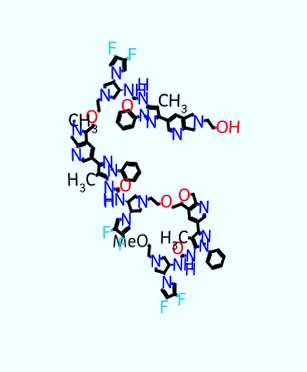 COCCN1C[C@@H](n2cc(F)c(F)c2)[C@H](NC(=O)Nc2c(C)c(-c3cnc4c(c3)C(COCCN3C[C@@H](n5cc(F)c(F)c5)[C@H](NC(=O)Nc5c(C)c(-c6cnc7c(c6)C(COCCN6C[C@@H](n8cc(F)c(F)c8)[C@H](NC(=O)Nc8c(C)c(-c9cnc%10c(c9)CN(CCO)C%10)nn8-c8ccccc8)C6)N(C)C7)nn5-c5ccccc5)C3)OC4)nn2-c2ccccc2)C1